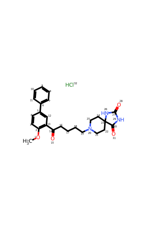 COc1ccc(-c2ccccc2)cc1C(=O)CCCCN1CCC2(CC1)NC(=O)NC2=O.Cl